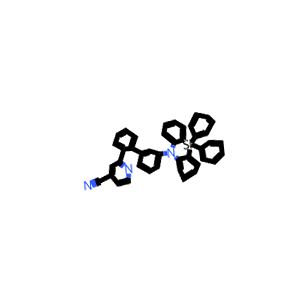 N#Cc1ccnc(-c2ccccc2-c2cccc(N3c4ccccc4[Si](c4ccccc4)(c4ccccc4)c4ccccc43)c2)c1